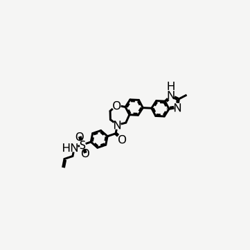 C=CCNS(=O)(=O)c1ccc(C(=O)N2CCOc3ccc(-c4ccc5nc(C)[nH]c5c4)cc3C2)cc1